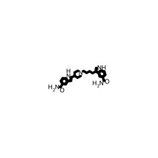 NC(=O)c1ccc2[nH]c(C3CCN(CCCCc4c[nH]c5ccc(C(N)=O)cc45)CC3)cc2c1